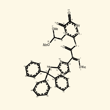 CON=C(C(=O)Sc1n[nH]c(=O)c(=O)n1CC(OC)OC)c1csc(NC(c2ccccc2)(c2ccccc2)c2ccccc2)n1